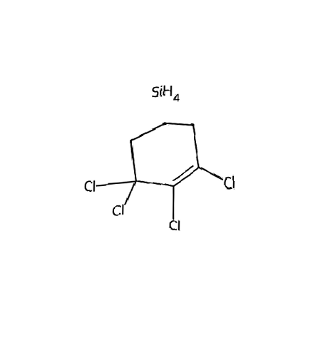 ClC1=C(Cl)C(Cl)(Cl)CCC1.[SiH4]